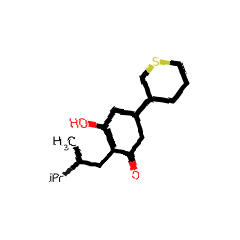 CC(C)C(C)CC1=C(O)CC(C2CCCSC2)CC1=O